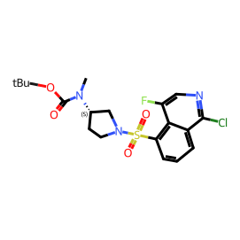 CN(C(=O)OC(C)(C)C)[C@H]1CCN(S(=O)(=O)c2cccc3c(Cl)ncc(F)c23)C1